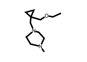 CCOCC1(CN2CCN(C)CC2)CC1